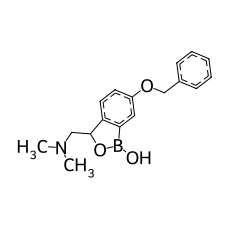 CN(C)CC1OB(O)c2cc(OCc3ccccc3)ccc21